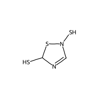 SC1N=CN(S)S1